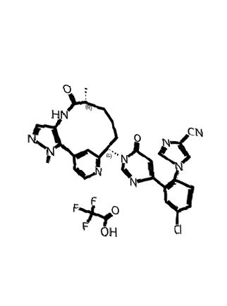 C[C@@H]1CCC[C@H](n2cnc(-c3cc(Cl)ccc3-n3cnc(C#N)c3)cc2=O)c2cc(ccn2)-c2c(cnn2C)NC1=O.O=C(O)C(F)(F)F